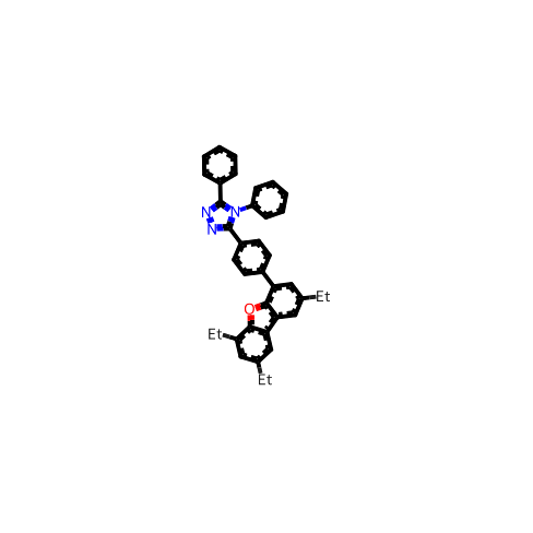 CCc1cc(CC)c2oc3c(-c4ccc(-c5nnc(-c6ccccc6)n5-c5ccccc5)cc4)cc(CC)cc3c2c1